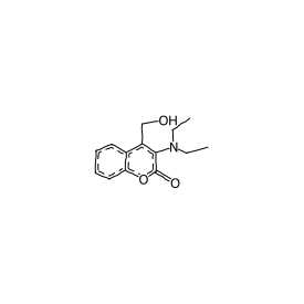 CCN(CC)c1c(CO)c2ccccc2oc1=O